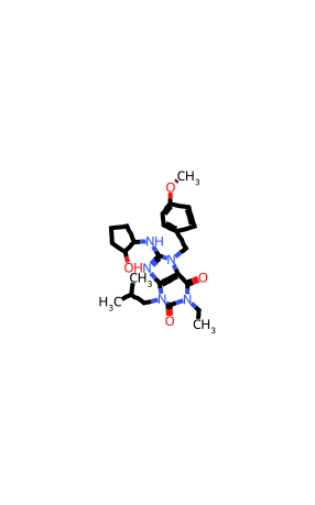 CCn1c(=O)c2c(nc(NC3CCCC3O)n2Cc2ccc(OC)cc2)n(CC(C)C)c1=O